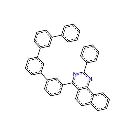 c1ccc(-c2cccc(-c3cccc(-c4cccc(-c5nc(-c6ccccc6)nc6c5ccc5ccccc56)c4)c3)c2)cc1